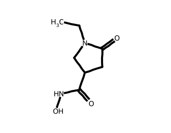 CCN1CC(C(=O)NO)CC1=O